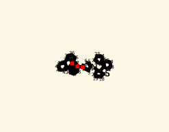 C=C(/C=C\C(=C/C)N(C1=c2c(sc3ccccc23)=C=C=C1)c1ccccc1)c1ccc2c(c1)-c1c3cccc1-c1cccc-2c1-c1ccccc1-3